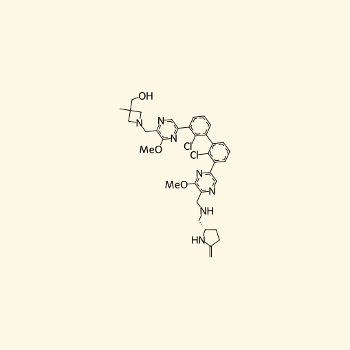 C=C1CC[C@@H](CNCc2ncc(-c3cccc(-c4cccc(-c5cnc(CN6CC(C)(CO)C6)c(OC)n5)c4Cl)c3Cl)nc2OC)N1